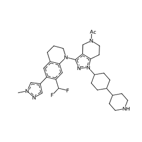 CC(=O)N1CCc2c(c(N3CCCc4cc(-c5cnn(C)c5)c(C(F)F)cc43)nn2C2CCC(C3CCNCC3)CC2)C1